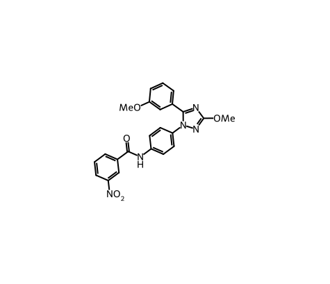 COc1cccc(-c2nc(OC)nn2-c2ccc(NC(=O)c3cccc([N+](=O)[O-])c3)cc2)c1